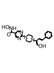 O=C(NO)c1cnc(N2CCN(C(/C=C/c3ccccc3)=C/O)CC2)nc1